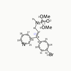 COP(=O)(OC)N(C)C/C=C(/c1ccc(Br)cc1)c1cccnc1